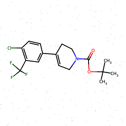 CC(C)(C)OC(=O)N1CC=C(c2ccc(Cl)c(C(F)(F)F)c2)CC1